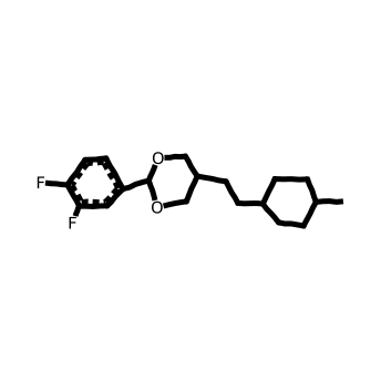 CC1CCC(CCC2COC(c3ccc(F)c(F)c3)OC2)CC1